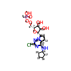 CP(=O)(O)OOC[C@H]1O[C@@H](c2ccc3c(NC4CCCC4)nc(Cl)nn23)[C@H](O)[C@@H]1O